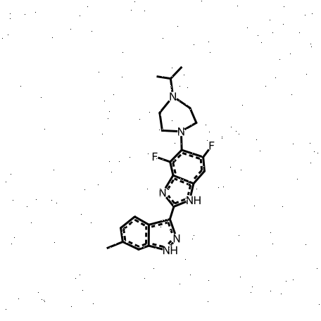 Cc1ccc2c(-c3nc4c(F)c(N5CCN(C(C)C)CC5)c(F)cc4[nH]3)n[nH]c2c1